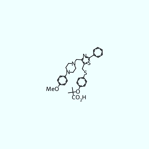 COc1ccc(N2CCN(Cc3nc(-c4ccccc4)sc3CSc3ccc(OC(C)(C)C(=O)O)cc3)CC2)cc1